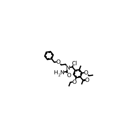 CCOc1cc(C(Cl)N(CCOCc2ccccc2)C(N)=O)c(C)c(OCC)c1C(C)=O